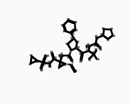 C=C[C@@H]1C[C@]1(NC(=O)[C@@H]1CN(c2ccccc2)CN1C(=O)[C@@H](NC(=O)OC1CCCC1)C(C)(C)C)C(=O)NS(=O)(=O)C1CC1